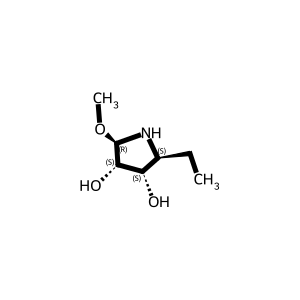 CC[C@@H]1N[C@H](OC)[C@@H](O)[C@H]1O